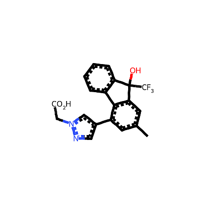 Cc1cc(-c2cnn(CC(=O)O)c2)c2c(c1)C(O)(C(F)(F)F)c1ccccc1-2